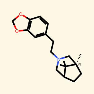 CC1(C)C2CC[C@]1(C)CN(CCc1ccc3c(c1)OCO3)C2